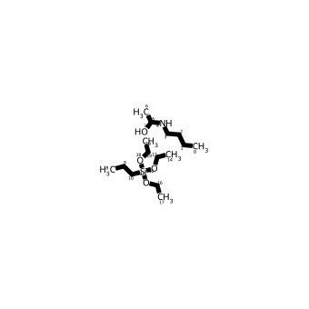 CCCCNC(C)O.CCC[Si](OCC)(OCC)OCC